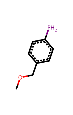 COCc1ccc(P)cc1